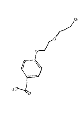 O=C(O)c1ccc(OCCOCCO)cc1